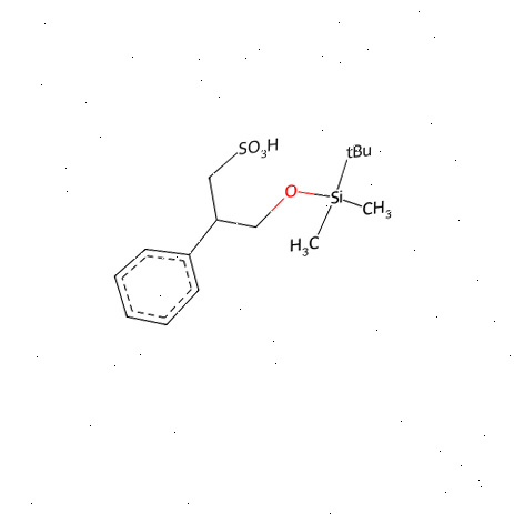 CC(C)(C)[Si](C)(C)OCC(CS(=O)(=O)O)c1ccccc1